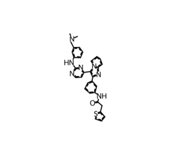 CN(C)Cc1cccc(Nc2nccc(-c3c(-c4cccc(NC(=O)Cc5cccs5)c4)nc4ccccn34)n2)c1